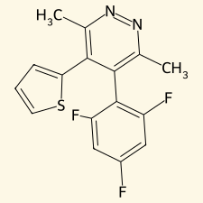 Cc1nnc(C)c(-c2c(F)cc(F)cc2F)c1-c1cccs1